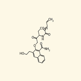 C=CCOC(=O)NC(CC(=O)O)C(=O)COc1c(CCO)cc2ccccc2c1C(N)=O